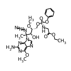 CCOC(=O)CNP(=O)(OC[C@@H](OC)[C@@H](O)[C@@](C)(N=[N+]=[N-])n1cnc2c(OC)nc(N)nc21)Oc1ccccc1